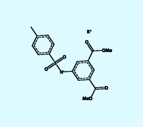 COC(=O)c1cc([N-]S(=O)(=O)c2ccc(C)cc2)cc(C(=O)OC)c1.[K+]